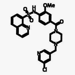 COc1cc(C(=O)N2CCN(Cc3cncc(Cl)c3)CC2)ccc1NS(=O)(=O)c1cccc2cccnc12